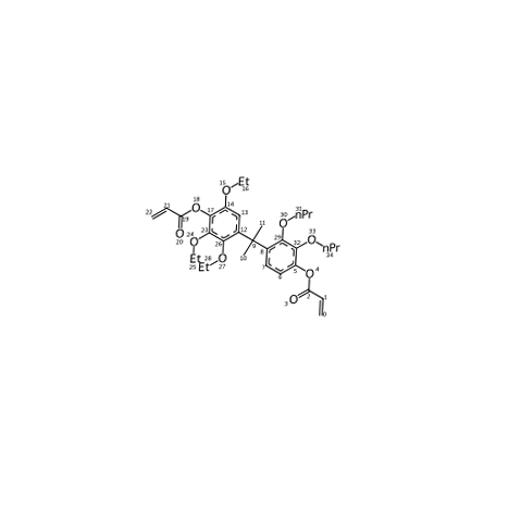 C=CC(=O)Oc1ccc(C(C)(C)c2cc(OCC)c(OC(=O)C=C)c(OCC)c2OCC)c(OCCC)c1OCCC